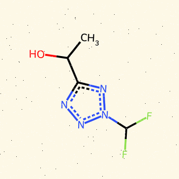 CC(O)c1nnn(C(F)F)n1